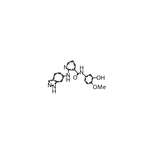 COc1ccc(NC(=O)c2cccnc2Nc2ccc3cn[nH]c3c2)cc1O